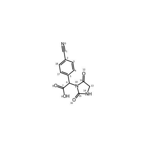 N#Cc1ccc(C(C(=O)O)N2C(=O)CNC2=O)cc1